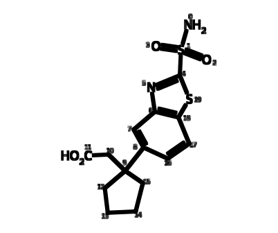 NS(=O)(=O)c1nc2cc(C3(CC(=O)O)CCCC3)ccc2s1